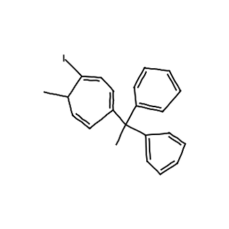 CC1C=CC(C(C)(c2ccccc2)c2ccccc2)=CC=C1I